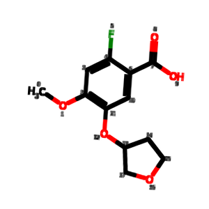 COc1cc(F)c(C(=O)O)cc1OC1CCOC1